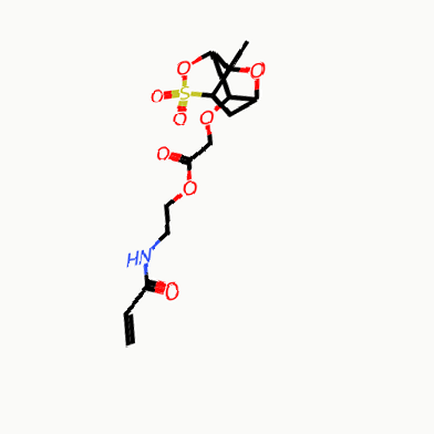 C=CC(=O)NCCOC(=O)COC1C2CC3C(C)(O2)C1OS3(=O)=O